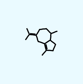 CC(C)=C1CCC(C)C2CCC(C)=C2C1